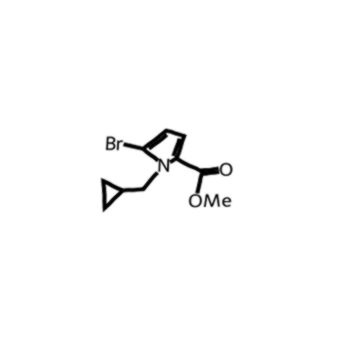 COC(=O)c1ccc(Br)n1CC1CC1